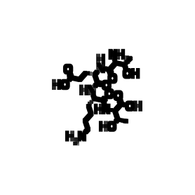 C[C@@H](O)[C@H](N)C(=O)N[C@@H](CCC(=O)O)C(=O)N[C@@H](CCCCN)C(=O)N[C@H](C(=O)O)[C@@H](C)O